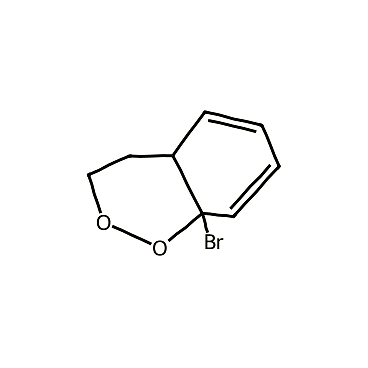 BrC12C=CC=CC1CCOO2